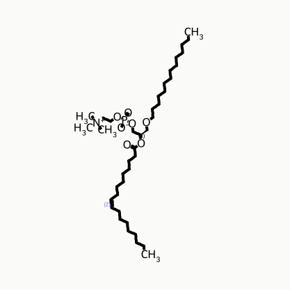 CCCCCCCC/C=C\CCCCCCCC(=O)O[C@H](COCCCCCCCCCCCCCC)COP(=O)([O-])OCC[N+](C)(C)C